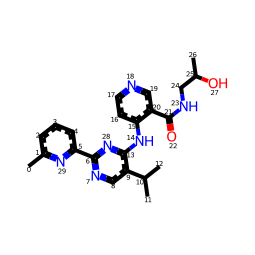 Cc1cccc(-c2ncc(C(C)C)c(Nc3ccncc3C(=O)NCC(C)O)n2)n1